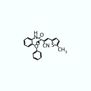 Cc1ccc(C=C(C#N)S(=O)(=O)Nc2ccccc2Oc2ccccc2)s1